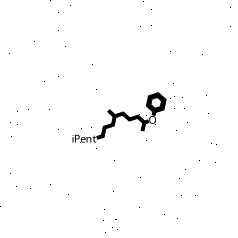 CCCC(C)CCCC(C)CCC[C](C)Oc1ccccc1